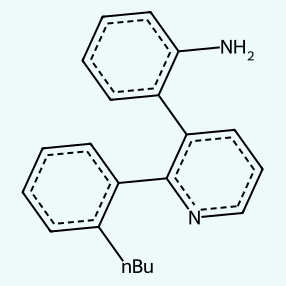 CCCCc1ccccc1-c1ncccc1-c1ccccc1N